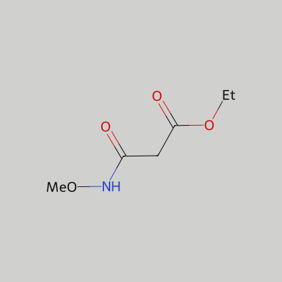 CCOC(=O)CC(=O)NOC